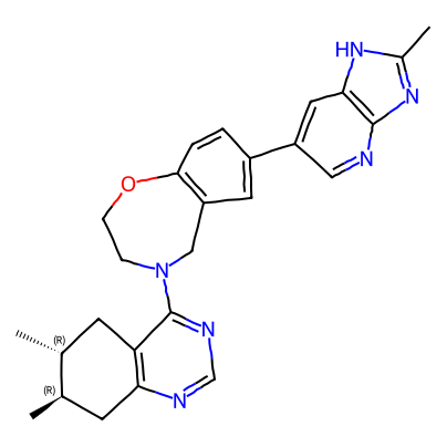 Cc1nc2ncc(-c3ccc4c(c3)CN(c3ncnc5c3C[C@@H](C)[C@H](C)C5)CCO4)cc2[nH]1